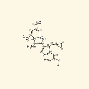 CCc1ccc2cc(-c3nc4cc(C=O)cc(OC)n4c3N)n(CC3CC3)c2n1